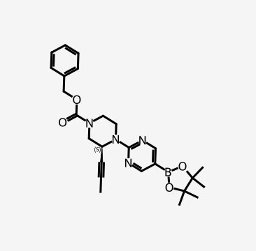 CC#C[C@H]1CN(C(=O)OCc2ccccc2)CCN1c1ncc(B2OC(C)(C)C(C)(C)O2)cn1